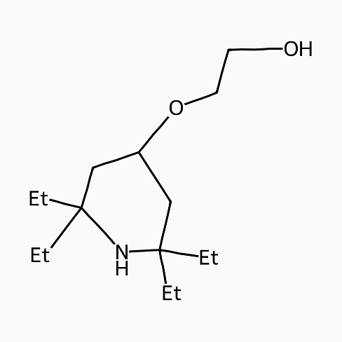 CCC1(CC)CC(OCCO)CC(CC)(CC)N1